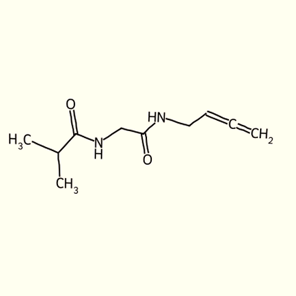 C=C=CCNC(=O)CNC(=O)C(C)C